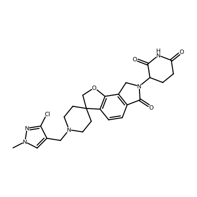 Cn1cc(CN2CCC3(CC2)COc2c3ccc3c2CN(C2CCC(=O)NC2=O)C3=O)c(Cl)n1